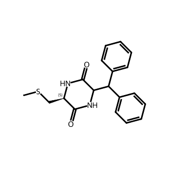 CSC[C@H]1NC(=O)C(C(c2ccccc2)c2ccccc2)NC1=O